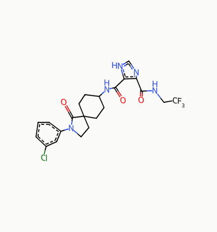 O=C(NCC(F)(F)F)c1nc[nH]c1C(=O)NC1CCC2(CC1)CCN(c1cccc(Cl)c1)C2=O